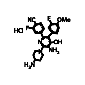 COc1ccc(-c2c(-c3ccc(C#N)c(F)c3)nc(N3CCC(N)CC3)c(N)c2O)cc1F.Cl